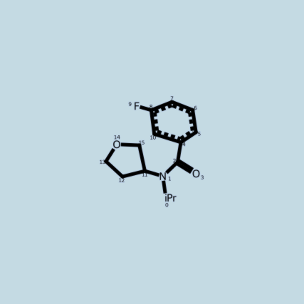 CC(C)N(C(=O)c1cccc(F)c1)C1CCOC1